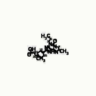 CCCN1C(=O)N2C[C@@H](C)N=C2c2[nH]c(C3=CCC(C)(CCC(=O)O)CC3)nc21